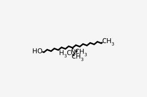 CCCCCCCCCC(CCCCCCCCO)[N+](C)(C)C